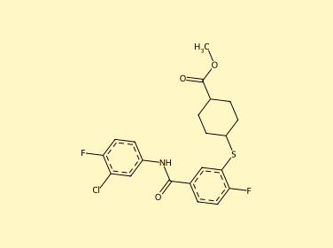 COC(=O)C1CCC(Sc2cc(C(=O)Nc3ccc(F)c(Cl)c3)ccc2F)CC1